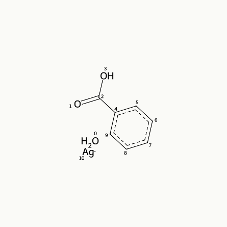 O.O=C(O)c1ccccc1.[Ag]